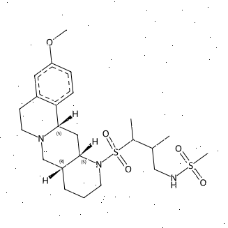 COc1ccc2c(c1)CCN1C[C@H]3CCCN(S(=O)(=O)C(C)C(C)CNS(C)(=O)=O)[C@H]3C[C@@H]21